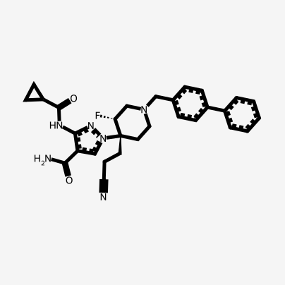 N#CCC[C@]1(n2cc(C(N)=O)c(NC(=O)C3CC3)n2)CCN(Cc2ccc(-c3ccccc3)cc2)C[C@H]1F